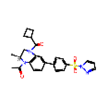 CC(=O)N1c2ccc(-c3ccc(S(=O)(=O)n4cccn4)cc3)cc2N(C(=O)C2CCC2)C[C@@H]1C